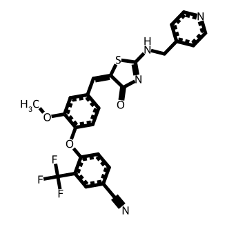 COc1cc(C=C2SC(NCc3ccncc3)=NC2=O)ccc1Oc1ccc(C#N)cc1C(F)(F)F